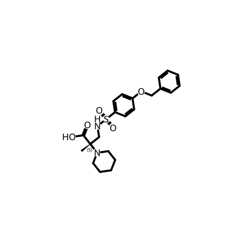 C[C@](CNS(=O)(=O)c1ccc(OCc2ccccc2)cc1)(C(=O)O)N1CCCCC1